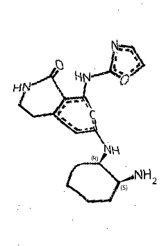 N[C@H]1CCCC[C@H]1Nc1cc2c(c(Nc3ncco3)c1)C(=O)NCC2